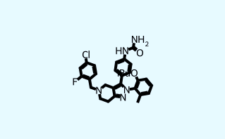 Cc1cccc(OCC(C)C)c1-n1nc2c(c1-c1ccc(NC(N)=O)cc1)CN(Cc1ccc(Cl)cc1F)CC2